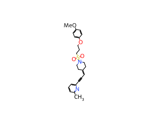 COc1ccc(OCCCS(=O)(=O)N2CCC(=CC#Cc3cccc(C)n3)CC2)cc1